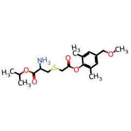 COCc1cc(C)c(OC(=O)CSCC(N)C(=O)OC(C)C)c(C)c1